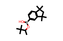 CC(OB(O)c1ccc2c(c1)C(C)(C)CC2(C)C)C(C)(C)C